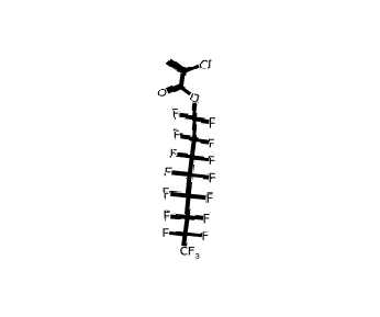 C=C(Cl)C(=O)OC(F)(F)C(F)(F)C(F)(F)C(F)(F)C(F)(F)C(F)(F)C(F)(F)C(F)(F)F